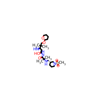 CC(C)(COC1CCCCO1)C(=N)/C=C(\O)NC(=O)C(C)(C)NC[C@H]1CCCN(S(C)(=O)=O)C1